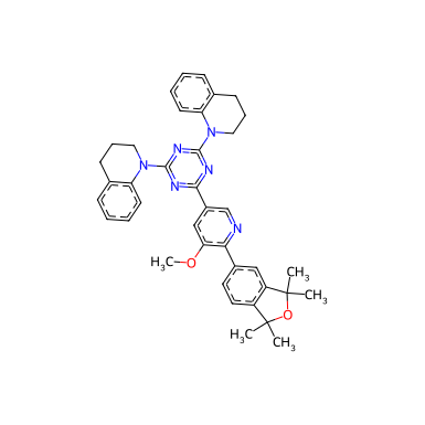 COc1cc(-c2nc(N3CCCc4ccccc43)nc(N3CCCc4ccccc43)n2)cnc1-c1ccc2c(c1)C(C)(C)OC2(C)C